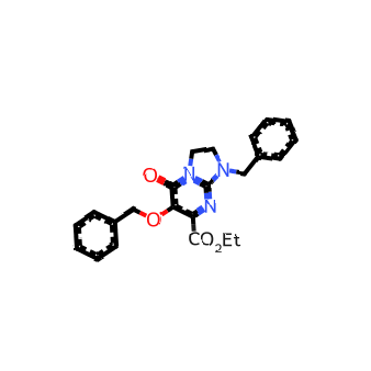 CCOC(=O)c1nc2n(c(=O)c1OCc1ccccc1)CCN2Cc1ccccc1